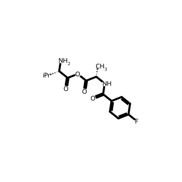 CC(C)[C@H](N)C(=O)OC(=O)[C@H](C)NC(=O)c1ccc(F)cc1